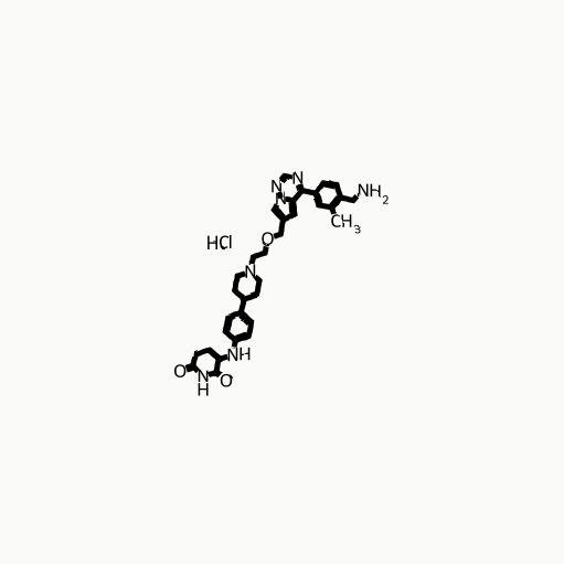 Cc1cc(-c2ncnn3cc(COCCN4CCC(c5ccc(NC6CCC(=O)NC6=O)cc5)CC4)cc23)ccc1CN.Cl